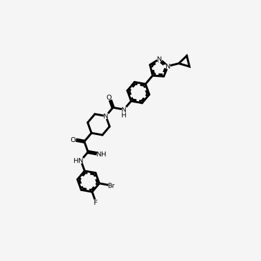 N=C(Nc1ccc(F)c(Br)c1)C(=O)C1CCN(C(=O)Nc2ccc(-c3cnn(C4CC4)c3)cc2)CC1